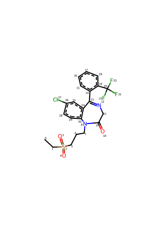 CCS(=O)(=O)CCCN1C(=O)CN=C(c2ccccc2C(F)(F)F)c2cc(Cl)ccc21